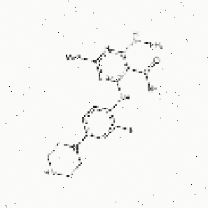 CSc1nc(NN)c(C(N)=O)c(Nc2ccc(N3CCNCC3)cc2F)n1